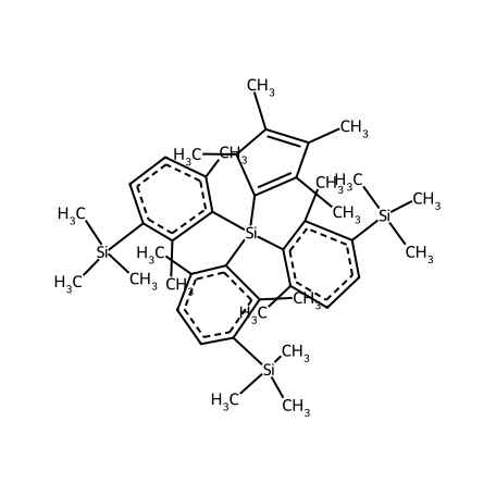 CC1=C(C)C(C)C([Si](c2c(C)ccc([Si](C)(C)C)c2C)(c2c(C)ccc([Si](C)(C)C)c2C)c2c(C)ccc([Si](C)(C)C)c2C)=C1C